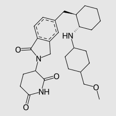 COCC1CCC(N[C@H]2CCCC[C@@H]2Cc2ccc3c(c2)CN(C2CCC(=O)NC2=O)C3=O)CC1